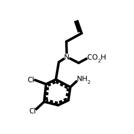 C=CCN(CC(=O)O)Cc1c(N)ccc(Cl)c1Cl